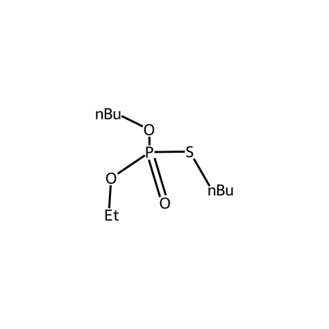 CCCCOP(=O)(OCC)SCCCC